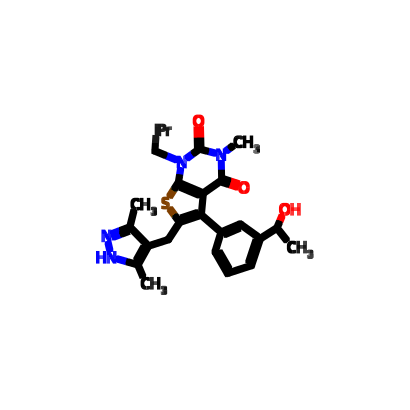 Cc1n[nH]c(C)c1Cc1sc2c(c1-c1cccc(C(C)O)c1)c(=O)n(C)c(=O)n2CC(C)C